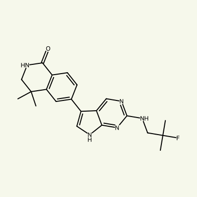 CC(C)(F)CNc1ncc2c(-c3ccc4c(c3)C(C)(C)CNC4=O)c[nH]c2n1